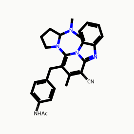 CC(=O)Nc1ccc(Cc2c(C)c(C#N)c3nc4ccccc4n3c2N2CCCC2N(C)C)cc1